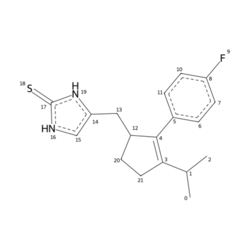 CC(C)C1=C(c2ccc(F)cc2)C(Cc2c[nH]c(=S)[nH]2)CC1